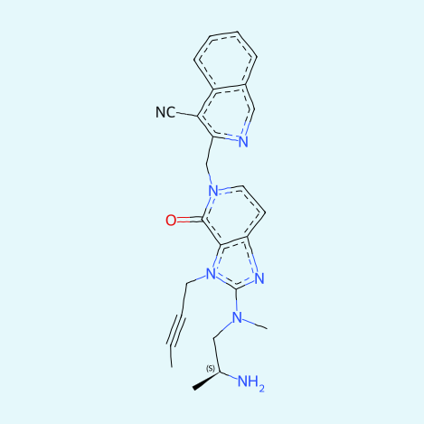 CC#CCn1c(N(C)C[C@H](C)N)nc2ccn(Cc3ncc4ccccc4c3C#N)c(=O)c21